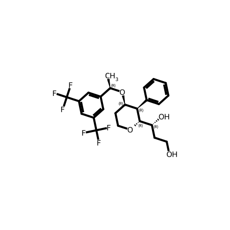 C[C@@H](O[C@@H]1CCO[C@@H]([C@H](O)CCO)[C@@H]1c1ccccc1)c1cc(C(F)(F)F)cc(C(F)(F)F)c1